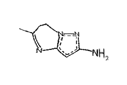 CC1=Nc2cc(N)nn2C1